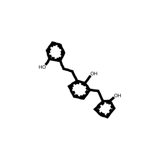 Oc1ccccc1CCc1cccc(Cc2ccccc2O)c1O